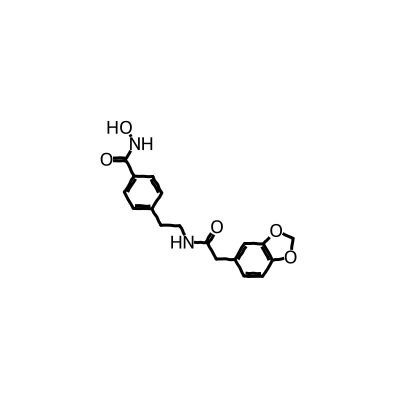 O=C(Cc1ccc2c(c1)OCO2)NCCc1ccc(C(=O)NO)cc1